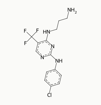 NCCCNc1nc(Nc2ccc(Cl)cc2)ncc1C(F)(F)F